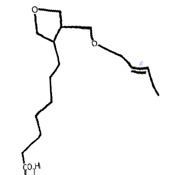 C/C=C/COCC1COCC1CCCCCCC(=O)O